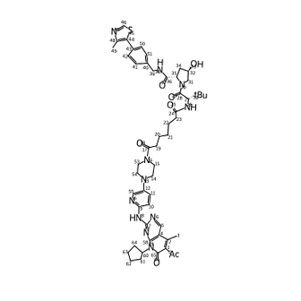 CC(=O)c1c(C)c2cnc(Nc3ccc(N4CCN(C(=O)CCCCCC(=O)N[C@H](C(=O)N5C[C@H](O)C[C@H]5C(=O)NCc5ccc(-c6scnc6C)cc5)C(C)(C)C)CC4)cn3)nc2n(C2CCCC2)c1=O